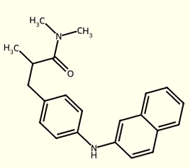 CC(Cc1ccc(Nc2ccc3ccccc3c2)cc1)C(=O)N(C)C